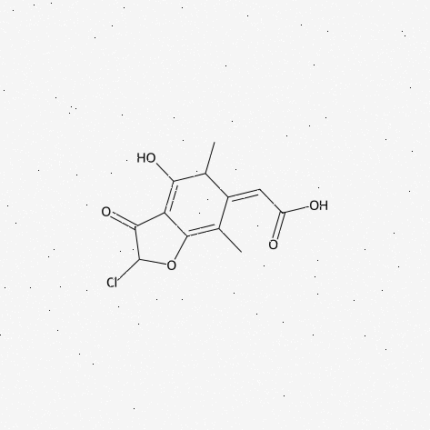 CC1=C2OC(Cl)C(=O)C2=C(O)C(C)C1=CC(=O)O